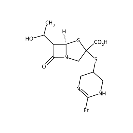 CCC1=NCC(SC2(C(=O)O)CN3C(=O)C(C(C)O)[C@H]3S2)CN1